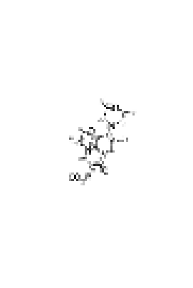 CC1CN(c2c(F)cc3c(=O)c(C(=O)O)cn4c3c2OCN4C)CC(C)O1